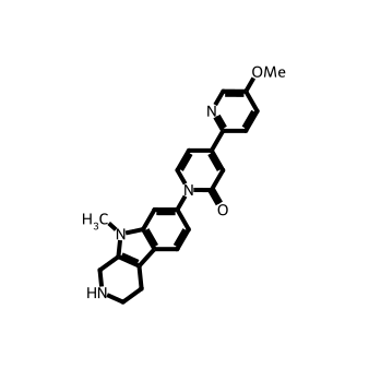 COc1ccc(-c2ccn(-c3ccc4c5c(n(C)c4c3)CNCC5)c(=O)c2)nc1